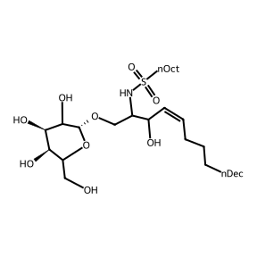 CCCCCCCCCCCCC/C=C\C(O)C(CO[C@@H]1OC(CO)[C@@H](O)[C@@H](O)C1O)NS(=O)(=O)CCCCCCCC